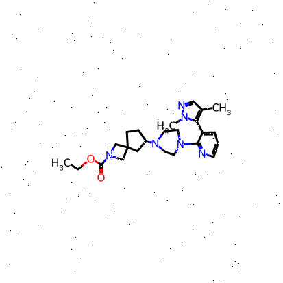 CCOC(=O)N1CC2(CC[C@@H](N3CCN(c4ncccc4-c4c(C)cnn4C)CC3)C2)C1